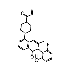 C=CC(=O)C1CCC(c2cccc3c2C=C(C)C(c2c(O)cccc2F)C3=O)CC1